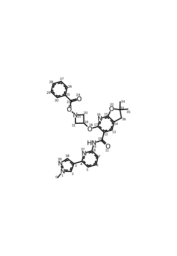 Cn1cc(-c2cccc(NC(=O)c3cc4c(nc3OC3CN(OC(=O)c5ccccc5)C3)OC(C)(C)C4)n2)cn1